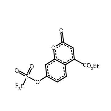 CCOC(=O)c1cc(=O)oc2cc(OS(=O)(=O)C(F)(F)F)ccc12